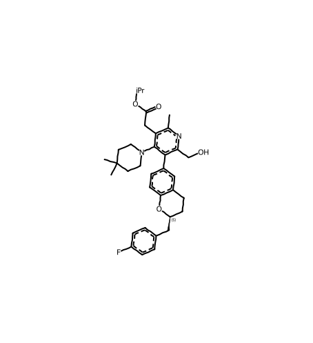 Cc1nc(CO)c(-c2ccc3c(c2)CC[C@@H](Cc2ccc(F)cc2)O3)c(N2CCC(C)(C)CC2)c1CC(=O)OC(C)C